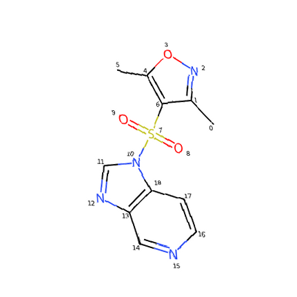 Cc1noc(C)c1S(=O)(=O)n1cnc2cnccc21